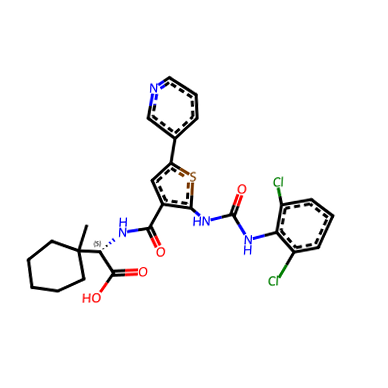 CC1([C@H](NC(=O)c2cc(-c3cccnc3)sc2NC(=O)Nc2c(Cl)cccc2Cl)C(=O)O)CCCCC1